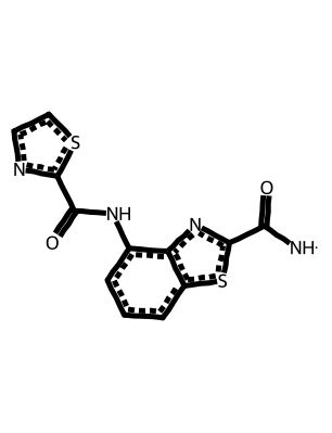 [NH]C(=O)c1nc2c(NC(=O)c3nccs3)cccc2s1